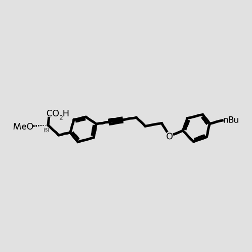 CCCCc1ccc(OCCCC#Cc2ccc(C[C@H](OC)C(=O)O)cc2)cc1